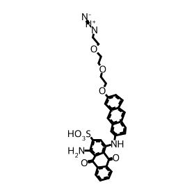 [N-]=[N+]=NCCOCCOCCOc1ccc2cc3ccc(Nc4cc(S(=O)(=O)O)c(N)c5c4C(=O)c4ccccc4C5=O)cc3cc2c1